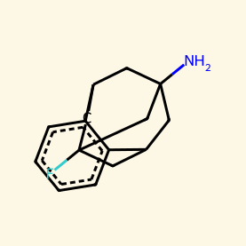 NC12CC3CC(F)(CC(C1)c1ccccc13)C2